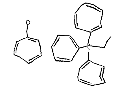 CC[P+](c1ccccc1)(c1ccccc1)c1ccccc1.[O-]c1ccccc1